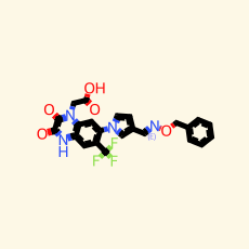 O=C(O)Cn1c(=O)c(=O)[nH]c2cc(C(F)(F)F)c(-n3ccc(/C=N/OCc4ccccc4)c3)cc21